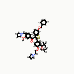 COc1cc(C(=O)c2c(-c3ccc(OCCN4CCCC4)c(C(O[SiH](C)C)C(C)(C)C)c3)sc3cc(OCc4ccccc4)ccc23)ccc1CN1CCCC1